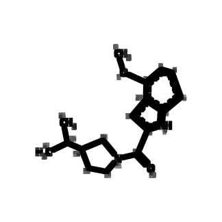 COc1cccc2[nH]c(C(=O)N3CCC(C(C)C)C3)cc12